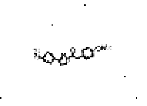 CCOc1ccc(C2=NN(C(=O)Cc3ccc(OC)cc3)CC2)cc1